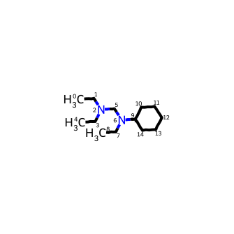 CCN(CC)CN(CC)[C]1CCCCC1